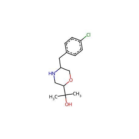 CC(C)(O)C1CNC(Cc2ccc(Cl)cc2)CO1